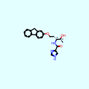 C[C@H](O)[C@@H](CCOc1ccc2c(c1)Cc1ccccc1-2)NC(=O)c1c[nH]cn1